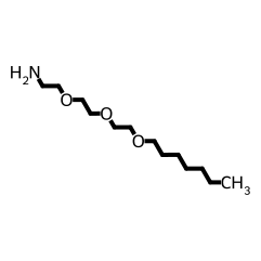 CCCCCCCOCCOCCOCCN